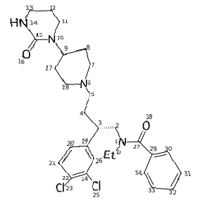 CCN(C[C@@H](CCN1CCC(N2CCCNC2=O)CC1)c1ccc(Cl)c(Cl)c1)C(=O)c1ccccc1